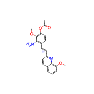 COc1c(OC(C)=O)ccc(/C=C/c2ccc3cccc(OC)c3n2)c1N